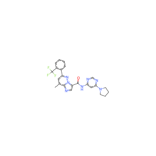 Cc1cc(-c2ccccc2C(F)(F)F)nn2c(C(=O)Nc3cc(N4CCCC4)ncn3)cnc12